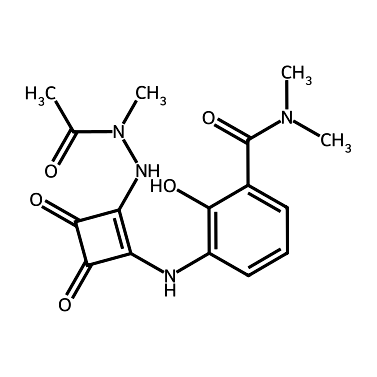 CC(=O)N(C)Nc1c(Nc2cccc(C(=O)N(C)C)c2O)c(=O)c1=O